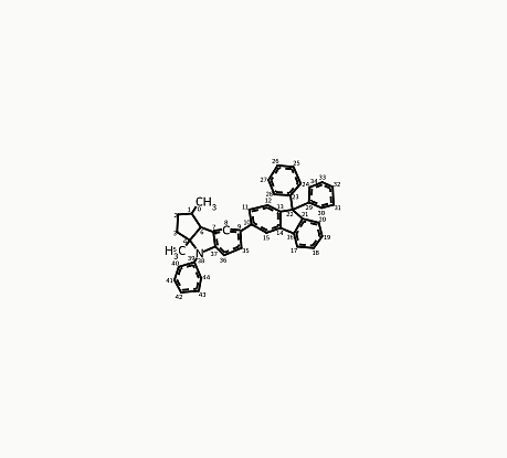 CC1CCC2(C)C1c1cc(-c3ccc4c(c3)-c3ccccc3C4(c3ccccc3)c3ccccc3)ccc1N2c1ccccc1